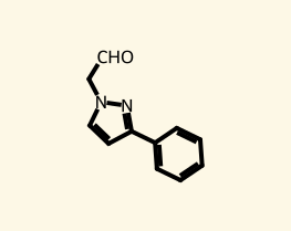 O=CCn1ccc(-c2ccccc2)n1